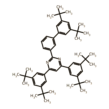 CC(C)(C)c1cc(-c2cccc(-c3nc(-c4cc(C(C)(C)C)cc(C(C)(C)C)c4)cc(-c4cc(C(C)(C)C)cc(C(C)(C)C)c4)n3)c2)cc(C(C)(C)C)c1